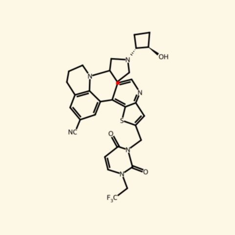 N#Cc1cc2c(c(-c3ccnc4cc(Cn5c(=O)ccn(CC(F)(F)F)c5=O)sc34)c1)N(C1CCN([C@@H]3CC[C@H]3O)C1)CCC2